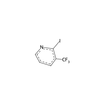 FC(F)(F)c1cccnc1I